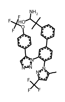 Cc1cc(C(F)(F)F)nn1-c1ccc(-c2cccc(C(C)(C)C(N)O)c2)cc1-n1nncc1-c1ccc(OC(F)(F)F)cc1